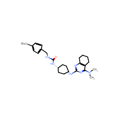 COc1ccc(CNC(=O)N[C@H]2CC[C@@H](Nc3nc4c(c(N(C)C)n3)CCCC4)CC2)cc1